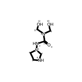 O=C(NN1CCNC1)N(CO)CO